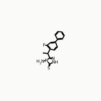 CC(c1ccc(-c2ccccc2)cc1F)c1n[nH]c(=S)n1N